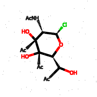 CC(=O)N[C@@H]1[C@H](Cl)O[C@H](C(O)C(C)=O)[C@@](O)(C(C)=O)[C@@]1(O)C(C)=O